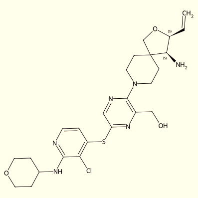 C=C[C@@H]1OCC2(CCN(c3ncc(Sc4ccnc(NC5CCOCC5)c4Cl)nc3CO)CC2)[C@@H]1N